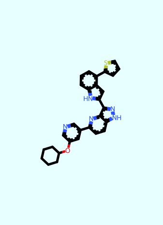 c1csc(-c2cccc3[nH]c(-c4n[nH]c5ccc(-c6cncc(OC7CCCCC7)c6)nc45)cc23)c1